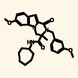 COc1cccc(CN2C(=O)c3cc4ccc(OC)cc4n3CC2(C)C(=O)NC2CCCCCC2)c1